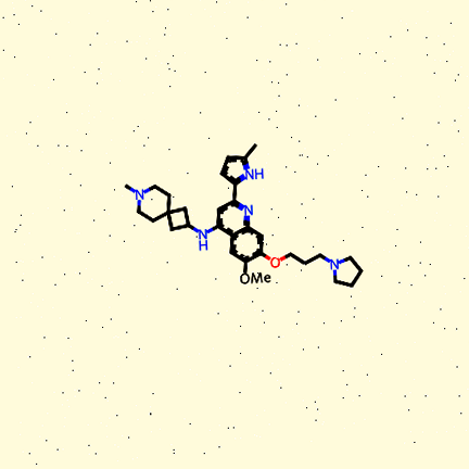 COc1cc2c(NC3CC4(CCN(C)CC4)C3)cc(-c3ccc(C)[nH]3)nc2cc1OCCCN1CCCC1